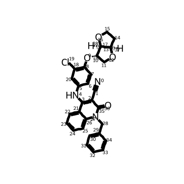 N#Cc1c(Nc2ccc(O[C@H]3CO[C@@H]4CCO[C@H]34)c(Cl)c2)c2ccccc2n(Cc2ccccc2)c1=O